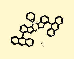 CCC1=Cc2c(-c3c4ccccc4cc4ccccc34)cccc2[CH]1[Hf+2]1([CH]2C(CC)=Cc3c(-c4c5ccccc5cc5ccccc45)cccc32)[CH]2CCCC[CH]21.[Cl-].[Cl-]